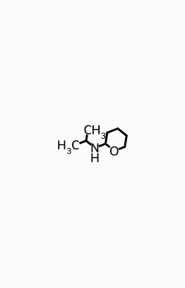 CC(C)NC1CCCCO1